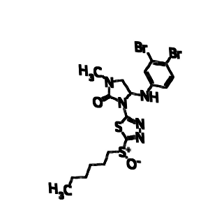 CCCCCC[S+]([O-])c1nnc(N2C(=O)N(C)CC2Nc2ccc(Br)c(Br)c2)s1